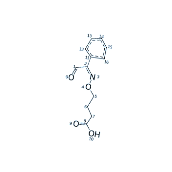 O=[C]/C(=N\OCCCC(=O)O)c1ccccc1